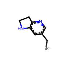 CC(C)Cc1cnc2c(c1)NCC2